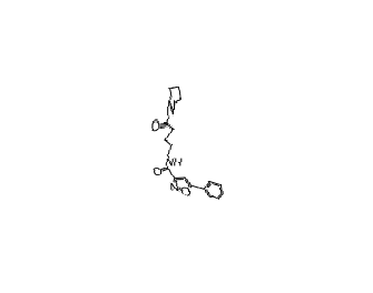 O=C(NCCCCC(=O)N1CCC1)c1cc(-c2ccccc2)on1